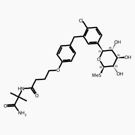 CS[C@H]1O[C@@H](c2ccc(Cl)c(Cc3ccc(OCCCC(=O)NC(C)(C)C(N)=O)cc3)c2)[C@H](O)[C@@H](O)[C@@H]1O